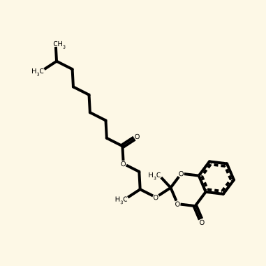 CC(C)CCCCCCC(=O)OCC(C)OC1(C)OC(=O)c2ccccc2O1